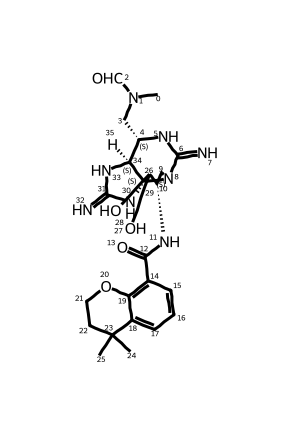 CN(C=O)C[C@@H]1NC(=N)N2C[C@H](NC(=O)c3cccc4c3OCCC4(C)C)C(O)(O)[C@@]23NC(=N)N[C@@H]13